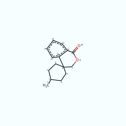 CC1CCC2(CC1)COC(=O)c1ccccc12